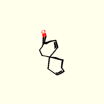 O=C1C=CC2(CC=CC2)CC1